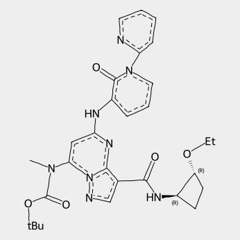 CCO[C@@H]1CC[C@H]1NC(=O)c1cnn2c(N(C)C(=O)OC(C)(C)C)cc(Nc3cccn(-c4ccccn4)c3=O)nc12